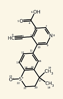 C#Cc1c(C(=O)O)cncc1-c1ccc2c(c1)C(C)(C)CC[S+]2[O-]